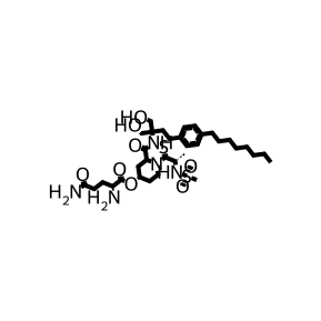 CCCCCCCCc1ccc(CCC(CO)(CO)NC(=O)C2C[C@H](OC(=O)[C@H](N)CCC(N)=O)CCN2C(=S)[C@H](C)NS(C)(=O)=O)cc1